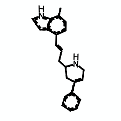 Cc1ccc(C=CCC2CC(c3ccccc3)=CCN2)c2cc[nH]c12